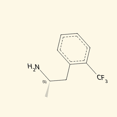 C[C@H](N)Cc1ccccc1C(F)(F)F